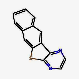 c1ccc2cc3c(cc2c1)sc1nccnc13